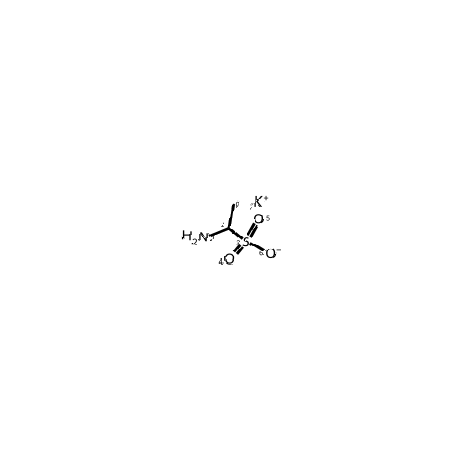 CC(N)S(=O)(=O)[O-].[K+]